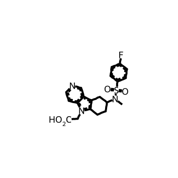 CN(C1CCc2c(c3cnccc3n2CC(=O)O)C1)S(=O)(=O)c1ccc(F)cc1